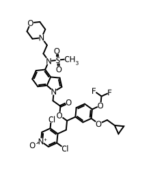 CS(=O)(=O)N(CCN1CCOCC1)c1cccc2c1ccn2CC(=O)OC(Cc1c(Cl)c[n+]([O-])cc1Cl)c1ccc(OC(F)F)c(OCC2CC2)c1